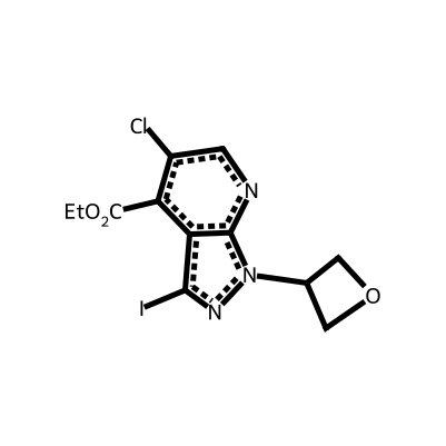 CCOC(=O)c1c(Cl)cnc2c1c(I)nn2C1COC1